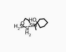 CC([SiH]1CCO[SiH2][SiH2]1)C1(O)CCCCC1